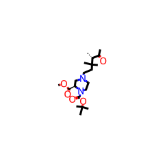 COC(=O)[C@H]1CN(CCC(C)(C)[C@H](C)C(C)=O)CCN1C(=O)OC(C)(C)C